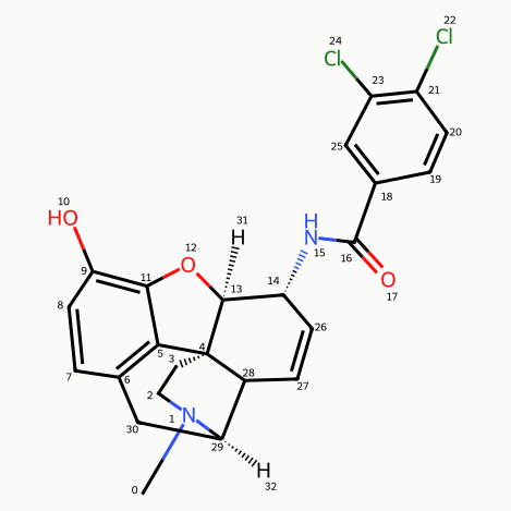 CN1CC[C@]23c4c5ccc(O)c4O[C@H]2[C@H](NC(=O)c2ccc(Cl)c(Cl)c2)C=CC3[C@H]1C5